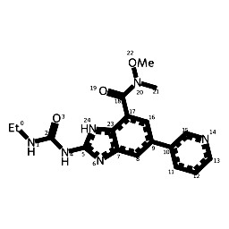 CCNC(=O)Nc1nc2cc(-c3cccnc3)cc(C(=O)N(C)OC)c2[nH]1